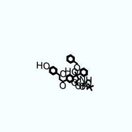 CC(C)(C)OC(=O)NC(C(=O)O)C(O)(c1ccc2c(c1)OC(c1ccc(O)cc1)CC2=O)c1ccccc1OCc1ccccc1